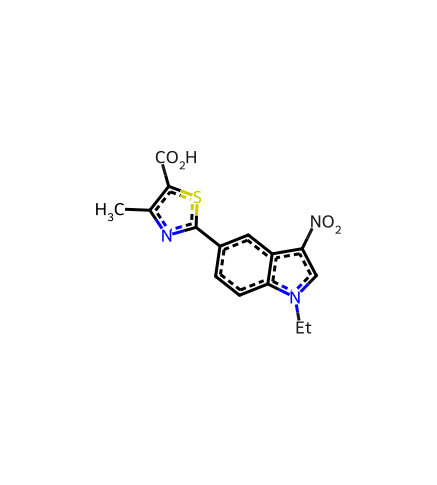 CCn1cc([N+](=O)[O-])c2cc(-c3nc(C)c(C(=O)O)s3)ccc21